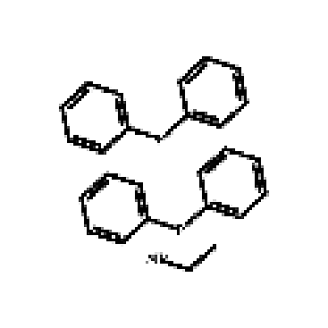 C[CH2][Al+2].c1ccc([P-]c2ccccc2)cc1.c1ccc([P-]c2ccccc2)cc1